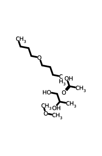 CC(=O)O.CC(O)CO.CCCCOCCCC.COC